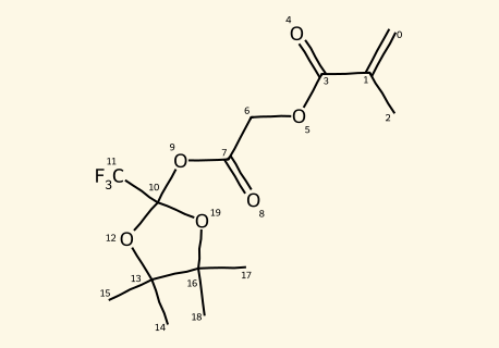 C=C(C)C(=O)OCC(=O)OC1(C(F)(F)F)OC(C)(C)C(C)(C)O1